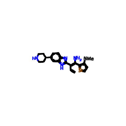 C=C/C(=C(/N)c1sccc1NC)c1nc2ccc(C3CCNCC3)cc2[nH]1